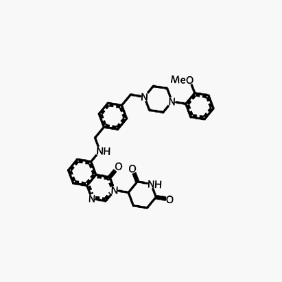 COc1ccccc1N1CCN(Cc2ccc(CNc3cccc4ncn(C5CCC(=O)NC5=O)c(=O)c34)cc2)CC1